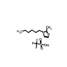 CCCCCCn1ccnc1C.O=S(=O)(O)C(F)(F)F